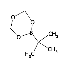 CC(C)(C)B1OCOCO1